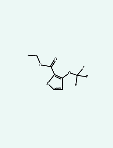 CCOC(=O)c1sccc1OC(F)(F)F